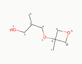 CC(CO)COC1(C)COC1